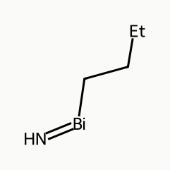 CCC[CH2][Bi]=[NH]